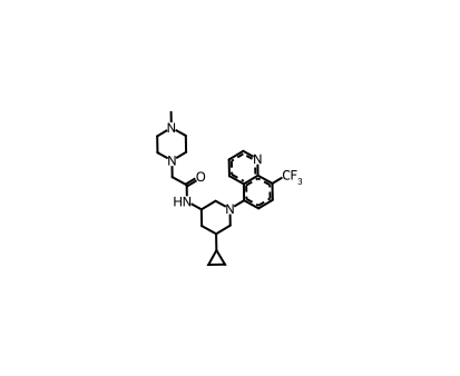 CN1CCN(CC(=O)NC2CC(C3CC3)CN(c3ccc(C(F)(F)F)c4ncccc34)C2)CC1